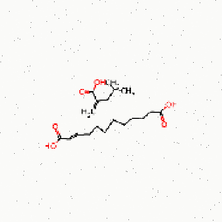 C=C(CC(C)C)C(=O)O.O=C(O)C=CCCCCCCCCC(=O)O